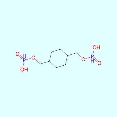 O=[PH](O)OCC1CCC(CO[PH](=O)O)CC1